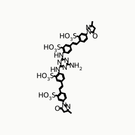 CC1=NN(c2ccc(C=Cc3ccc(Nc4nc(N)nc(Nc5ccc(C=Cc6ccc(N7N=C(C)CC7=O)cc6S(=O)(=O)O)cc5S(=O)(=O)O)n4)c(S(=O)(=O)O)c3)c(S(=O)(=O)O)c2)C(=O)C1